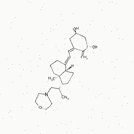 C=C1C(=CC=C2CCC[C@]3(C)[C@@H](C(C)CN4CCOCC4)CC[C@@H]23)C[C@@H](O)C[C@@H]1O